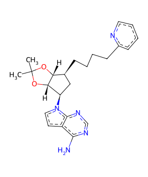 CC1(C)O[C@@H]2[C@@H](CCCCc3ccccn3)C[C@@H](n3ccc4c(N)ncnc43)[C@@H]2O1